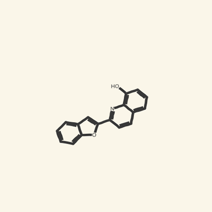 Oc1cccc2ccc(-c3cc4ccccc4o3)nc12